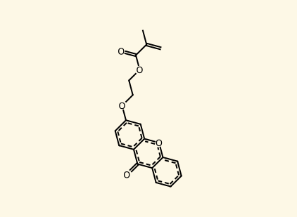 C=C(C)C(=O)OCCOc1ccc2c(=O)c3ccccc3oc2c1